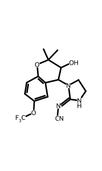 CC1(C)Oc2ccc(OC(F)(F)F)cc2C(N2CCN/C2=N\C#N)C1O